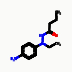 CCCC(=O)NN(CC)c1ccc(N)cc1